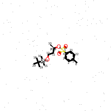 Cc1ccc(S(=O)(=O)O[C@H](C)CCO[Si](C)(C)C(C)(C)C)cc1